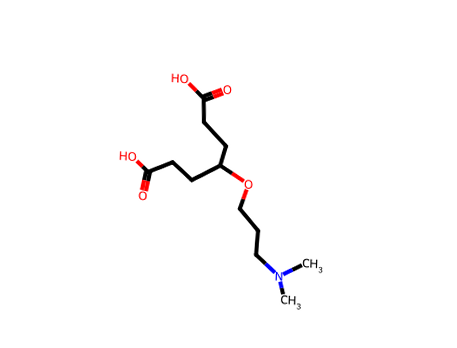 CN(C)CCCOC(CCC(=O)O)CCC(=O)O